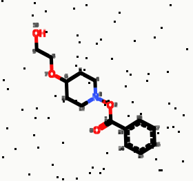 O=C(ON1CCC(OCCO)CC1)c1ccccc1